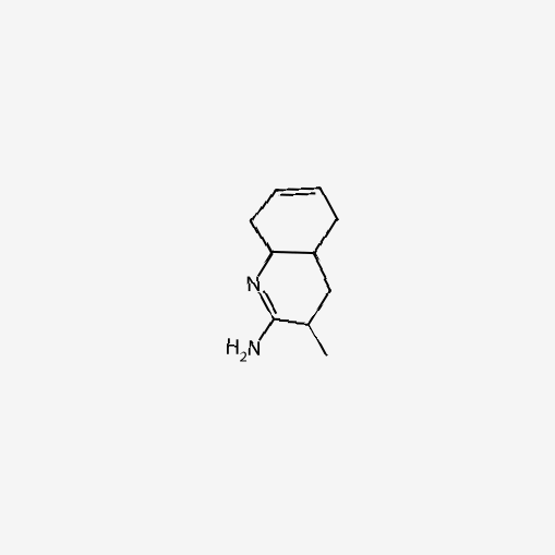 CC1CC2CC=CCC2N=C1N